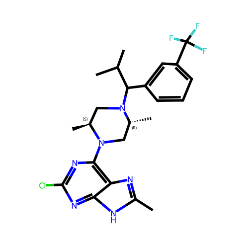 Cc1nc2c(N3C[C@@H](C)N(C(c4cccc(C(F)(F)F)c4)C(C)C)C[C@@H]3C)nc(Cl)nc2[nH]1